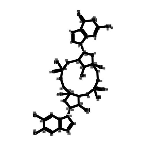 Nc1nc2c(ncn2[C@@H]2O[C@@H]3COP(=O)(S)OC4C(O)[C@H](n5cnc6cc(Cl)c(Cl)cc65)O[C@@H]4COP(=O)(S)OC2C3O)c(=O)[nH]1